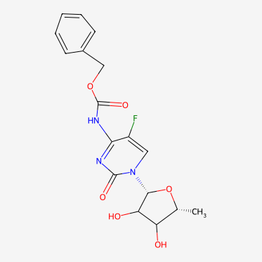 C[C@H]1O[C@@H](n2cc(F)c(NC(=O)OCc3ccccc3)nc2=O)C(O)C1O